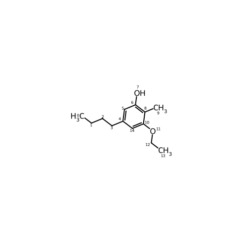 CCCCc1cc(O)c(C)c(OCC)c1